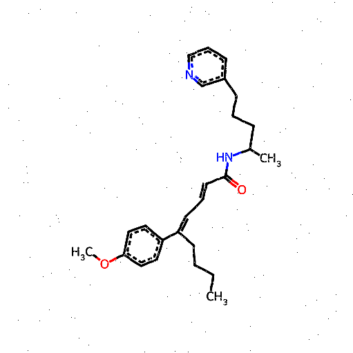 CCCC/C(=C\C=C\C(=O)NC(C)CCCc1cccnc1)c1ccc(OC)cc1